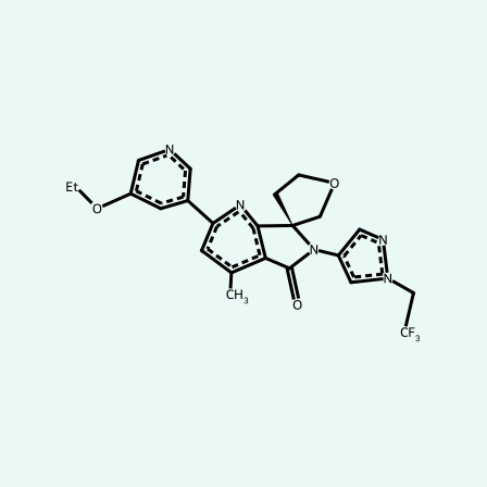 CCOc1cncc(-c2cc(C)c3c(n2)[C@@]2(CCOC2)N(c2cnn(CC(F)(F)F)c2)C3=O)c1